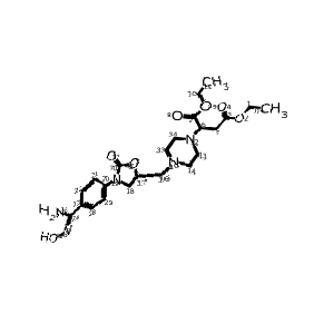 CCOC(=O)CC(C(=O)OCC)N1CCN(CC2CN(c3ccc(C(N)=NO)cc3)C(=O)O2)CC1